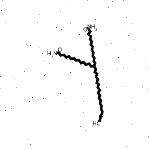 C#CC#CCCCCCCCCCCCCCCCCCC(CCCCCCCCCCCCCC(N)=O)CCCCCCCCCCCCCC(N)=O